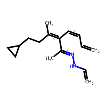 C=C\C=C/C(=C(\C)CCC1CC1)C(/C)=N/NC=C